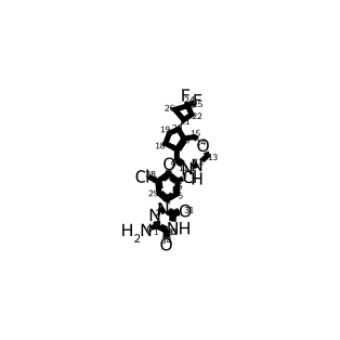 Nc1nn(-c2cc(Cl)c(O/C3=N/NCOCC4=C3CC[C@@H]4C3CC(F)(F)C3)c(Cl)c2)c(=O)[nH]c1=O